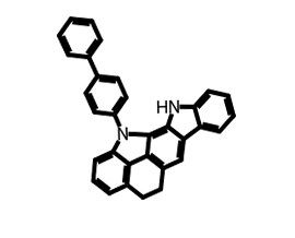 c1ccc(-c2ccc(-n3c4cccc5c4c4c(cc6c7ccccc7[nH]c6c43)CC5)cc2)cc1